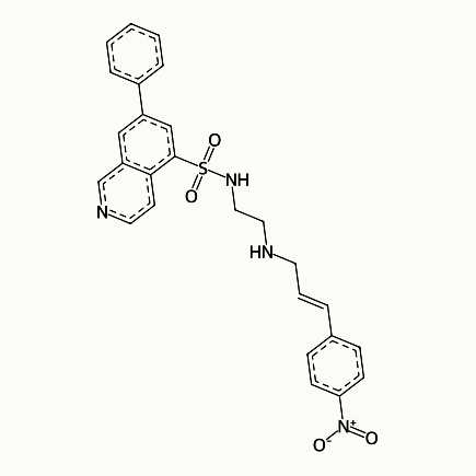 O=[N+]([O-])c1ccc(/C=C/CNCCNS(=O)(=O)c2cc(-c3ccccc3)cc3cnccc23)cc1